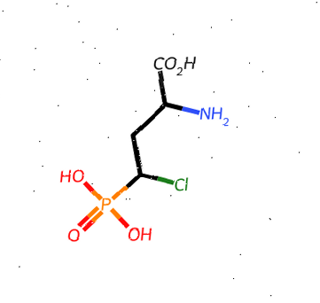 NC(CC(Cl)P(=O)(O)O)C(=O)O